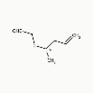 C=CC[C@H](C)OCC=O